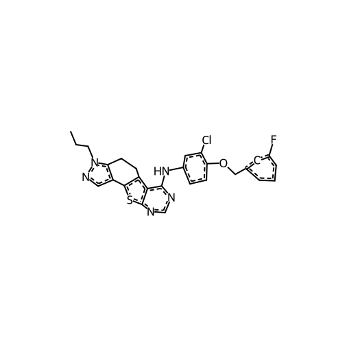 CCCn1ncc2c1CCc1c-2sc2ncnc(Nc3ccc(OCc4cccc(F)c4)c(Cl)c3)c12